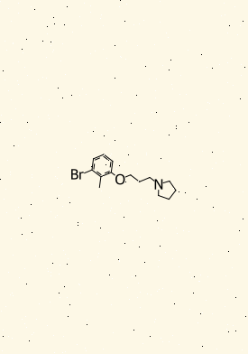 Cc1c(Br)cccc1OCCCN1CCCC1